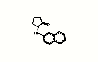 O=C1CCCN1Nc1ccc2ccccc2c1